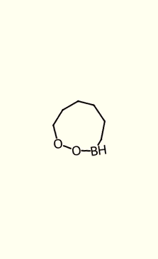 B1CCCCCCOO1